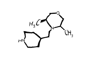 CC1COCC(C)N1CC1CCNCC1